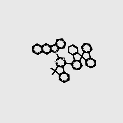 CC1(C)c2ccccc2-c2c(-c3cccc4c3C3=C(C=CCC3)C43c4ccccc4-c4ccccc43)nc(-n3c4ccccc4c4cc5ccccc5cc43)nc21